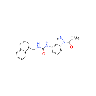 COC(=O)n1ncc2c(NC(=O)NCc3cccc4ccccc34)cccc21